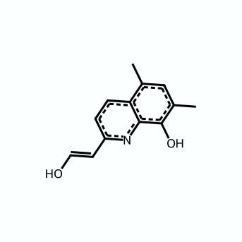 Cc1cc(C)c2ccc(/C=C/O)nc2c1O